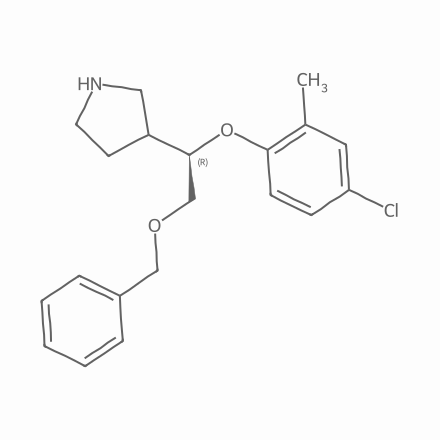 Cc1cc(Cl)ccc1O[C@@H](COCc1ccccc1)C1CCNC1